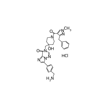 Cl.Cn1cc(C(=O)N2CCC(O)(Cn3cnn4c(-c5ccc(CN)cc5)cnc4c3=O)CC2)c(Cc2ccccc2)n1